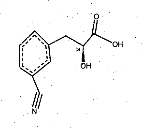 N#Cc1cccc(C[C@H](O)C(=O)O)c1